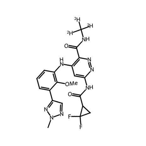 [2H]C([2H])([2H])NC(=O)c1nnc(NC(=O)C2CC2(F)F)cc1Nc1cccc(-c2cnn(C)n2)c1OC